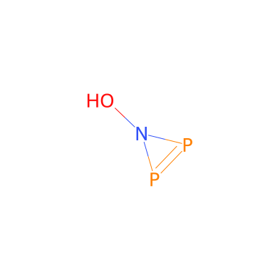 ON1P=P1